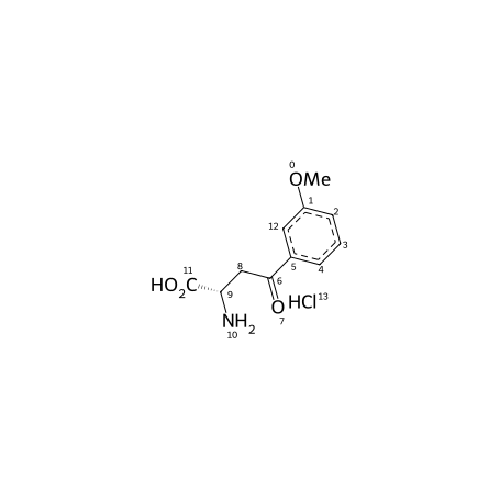 COc1cccc(C(=O)C[C@H](N)C(=O)O)c1.Cl